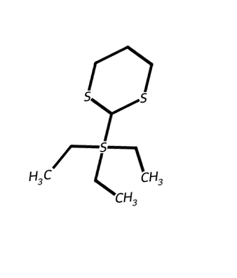 CCS(CC)(CC)C1SCCCS1